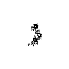 CCCS(=O)(=O)Nc1ccc(F)c(Nc2ccc3ncc(Nc4ccc(F)cc4F)nc3c2)c1F